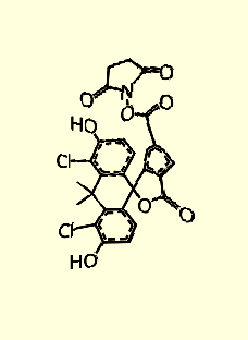 CC1(C)c2c(ccc(O)c2Cl)C2(OC(=O)c3ccc(C(=O)ON4C(=O)CCC4=O)cc32)c2ccc(O)c(Cl)c21